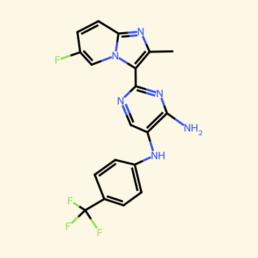 Cc1nc2ccc(F)cn2c1-c1ncc(Nc2ccc(C(F)(F)F)cc2)c(N)n1